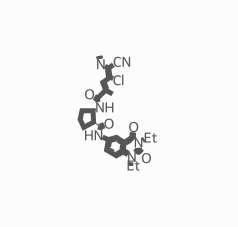 C=N/C(C#N)=C(Cl)\C=C(/C)C(=O)N[C@H]1CCC[C@H]1C(=O)Nc1ccc2c(c1)c(=O)n(CC)c(=O)n2CC